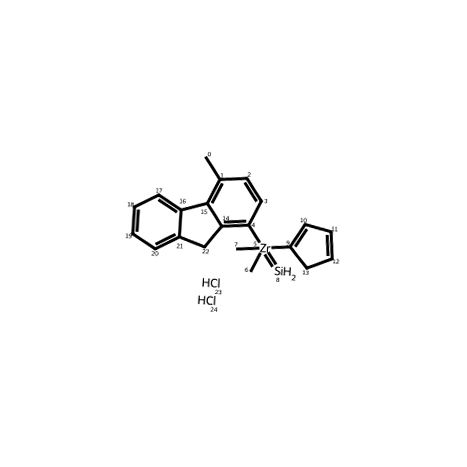 Cc1cc[c]([Zr]([CH3])([CH3])(=[SiH2])[C]2=CC=CC2)c2c1-c1ccccc1C2.Cl.Cl